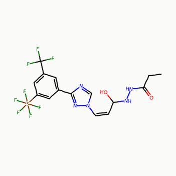 CCC(=O)NNC(O)/C=C\n1cnc(-c2cc(C(F)(F)F)cc(S(F)(F)(F)(F)F)c2)n1